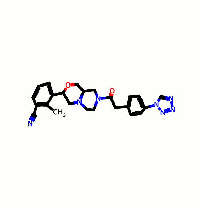 Cc1c(C#N)cccc1C1CN2CCN(C(=O)Cc3ccc(-n4cnnn4)cc3)CC2CO1